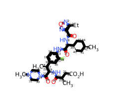 CCc1nonc1C(=O)N[C@H](C(=O)Nc1ccc([C@H](C)[C@@H](NC(=O)[C@H](C)CC(=O)O)C(=O)N2CCN(C)CC2)cc1F)[C@H]1CC[C@H](C)CC1